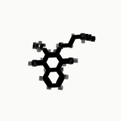 COCCSC1=C(C)C(=O)C2C=CC=CC2C1=O